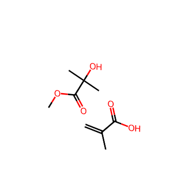 C=C(C)C(=O)O.COC(=O)C(C)(C)O